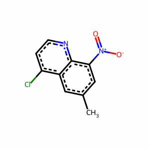 Cc1cc([N+](=O)[O-])c2nccc(Cl)c2c1